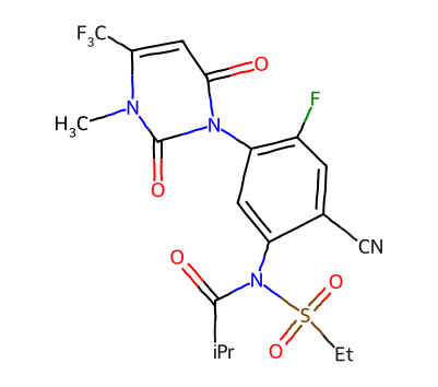 CCS(=O)(=O)N(C(=O)C(C)C)c1cc(-n2c(=O)cc(C(F)(F)F)n(C)c2=O)c(F)cc1C#N